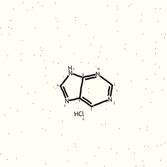 Cl.c1ncc2nc[nH]c2n1